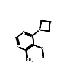 COc1c(N)ncnc1N1CCC1